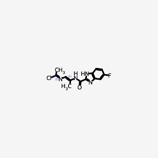 C/C(=C\N=C(/C)Cl)NC(=O)c1nc2cc(F)ccc2[nH]1